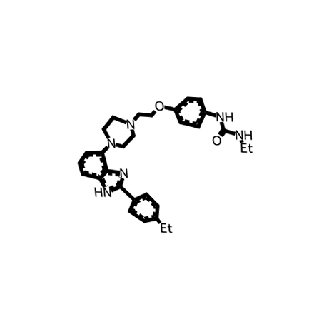 CCNC(=O)Nc1ccc(OCCN2CCN(c3cccc4[nH]c(-c5ccc(CC)cc5)nc34)CC2)cc1